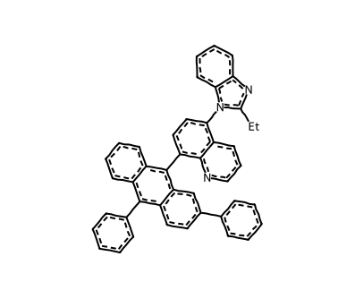 CCc1nc2ccccc2n1-c1ccc(-c2c3ccccc3c(-c3ccccc3)c3ccc(-c4ccccc4)cc23)c2ncccc12